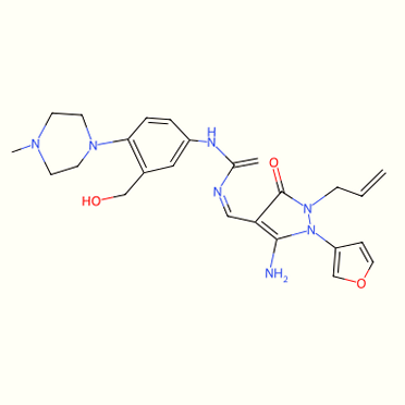 C=CCn1c(=O)c(/C=N\C(=C)Nc2ccc(N3CCN(C)CC3)c(CO)c2)c(N)n1-c1ccoc1